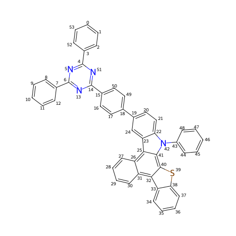 c1ccc(-c2nc(-c3ccccc3)nc(-c3ccc(-c4ccc5c(c4)c4c6ccccc6c6c7ccccc7sc6c4n5-c4ccccc4)cc3)n2)cc1